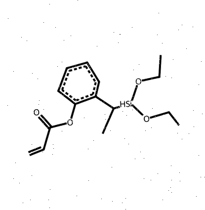 C=CC(=O)Oc1ccccc1C(C)[SiH](OCC)OCC